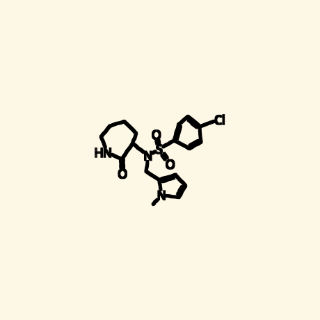 Cn1cccc1CN(C1CCCCNC1=O)S(=O)(=O)c1ccc(Cl)cc1